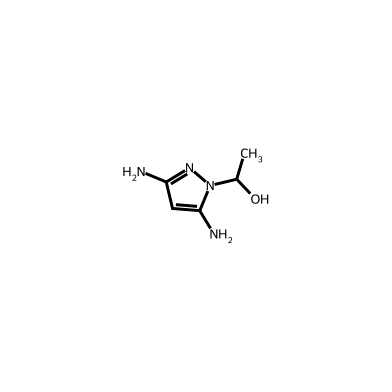 CC(O)n1nc(N)cc1N